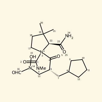 CNC(=O)[N+]1(C(=O)[C@H](CC2CCCC2)CN(O)C=O)CCC(C)(C)[C@H]1C(N)=O